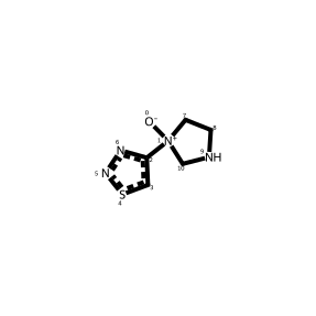 [O-][N+]1(c2csnn2)CCNC1